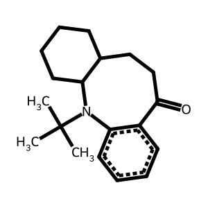 CC(C)(C)N1c2ccccc2C(=O)CCC2CCCCC21